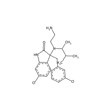 CC(C)C(C)N(CCN)C1(Cc2cccc(Cl)c2)C(=O)Nc2cc(Cl)ccc21